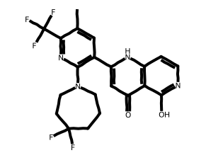 Cc1cc(-c2cc(=O)c3c(O)nccc3[nH]2)c(N2CCCC(F)(F)CC2)nc1C(F)(F)F